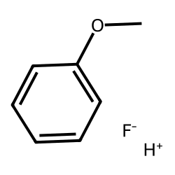 COc1ccccc1.[F-].[H+]